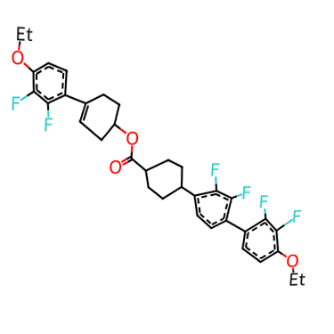 CCOc1ccc(C2=CCC(OC(=O)C3CCC(c4ccc(-c5ccc(OCC)c(F)c5F)c(F)c4F)CC3)CC2)c(F)c1F